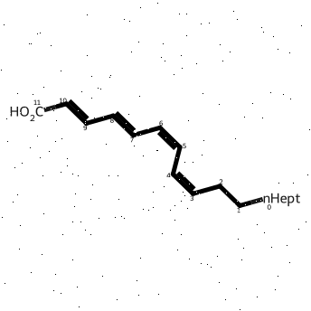 CCCCCCCCC\C=C/C=C\C=C\C=C\C(=O)O